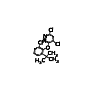 CC(C)(C)c1cccc(Cl)c1Oc1nnc(Cl)cc1Cl